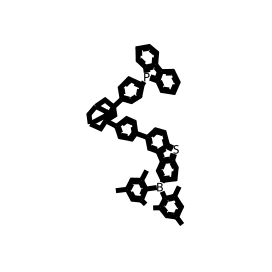 Cc1cc(C)c(B(c2ccc3sc4ccc(-c5ccc(C67CC8CC(C6)CC(c6ccc(-p9c%10ccccc%10c%10ccccc%109)cc6)(C8)C7)cc5)cc4c3c2)c2c(C)cc(C)cc2C)c(C)c1